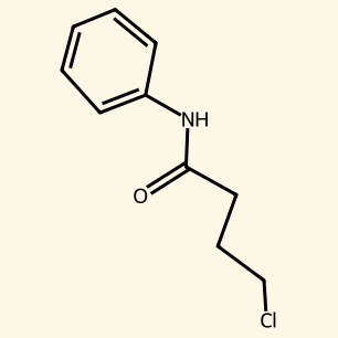 O=C(CCCCl)Nc1ccccc1